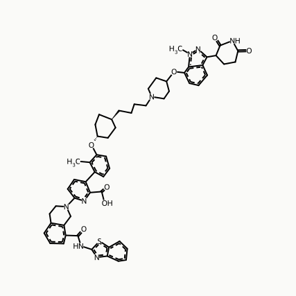 Cc1c(O[C@H]2CC[C@H](CCCCN3CCC(Oc4cccc5c(C6CCC(=O)NC6=O)nn(C)c45)CC3)CC2)cccc1-c1ccc(N2CCc3cccc(C(=O)Nc4nc5ccccc5s4)c3C2)nc1C(=O)O